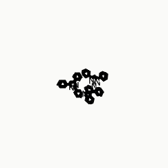 c1ccc(-c2cc(-c3ccccc3)nc(-c3cccc(-n4c5ccccc5c5c6c7ccccc7n(-c7nc(-c8ccccc8)cc(-c8ccccc8)n7)c6ccc54)c3)n2)cc1